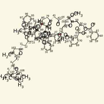 C=C=C(C)C[C@H](CC[C@@H]1O[C@@H](CCC(=O)C[C@H]2O[C@H]3[C@@H](O[Si](c4ccccc4)(c4ccccc4)C(C)(C)C)[C@H]4O[C@@H](CC(=O)C[C@@H]5[C@@H](OC)[C@@H](C[C@@H](COC(=O)c6ccccc6)OC(=O)c6ccccc6)O[C@H]5CC(OC)OC)CC[C@@H]4O[C@H]3[C@H]2O[Si](c2ccccc2)(c2ccccc2)C(C)(C)C)CC1=C)O[Si](CC)(CC)CC